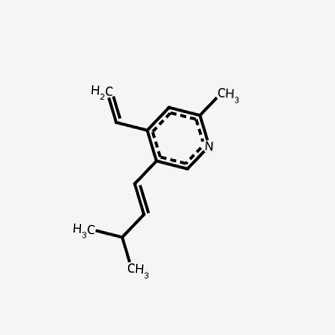 C=Cc1cc(C)ncc1C=CC(C)C